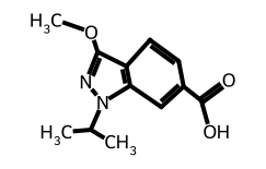 COc1nn(C(C)C)c2cc(C(=O)O)ccc12